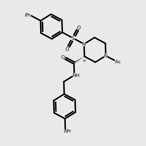 CCCc1ccc(CNC(=O)[C@H]2CN(C(C)=O)CCN2S(=O)(=O)c2ccc(C(C)C)cc2)cc1